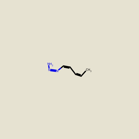 C\C=C/C=C\N=N/N